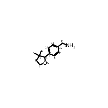 CC1(C)CCOC1c1ccc(CN)cc1